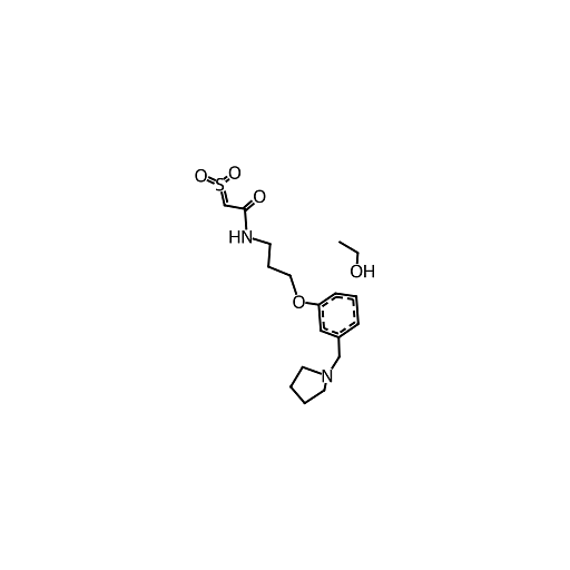 CCO.O=C(C=S(=O)=O)NCCCOc1cccc(CN2CCCC2)c1